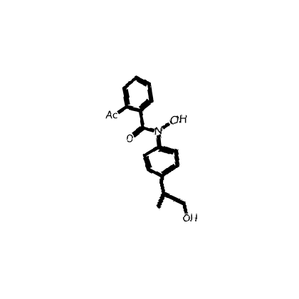 CC(=O)c1ccccc1C(=O)N(O)c1ccc(C(C)CO)cc1